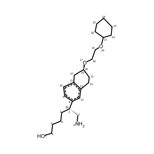 NC[C@H](CCCCO)c1ccc2c(c1)CC[C@H](OCCOC1CCCCC1)C2